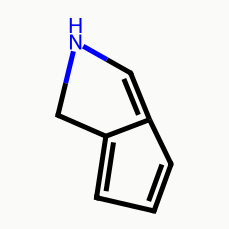 C1=CC2=CNCC2=C1